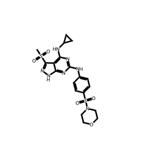 CS(=O)(=O)c1n[nH]c2nc(Nc3ccc(S(=O)(=O)N4CCOCC4)cc3)nc(NC3CC3)c12